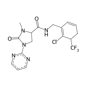 CN1C(=O)N(c2ncccn2)CC1C(=O)NCC1=C(Cl)C(C(F)(F)F)CC=C1